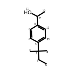 CCC(C)(C)c1ccc(C(C)O)cc1